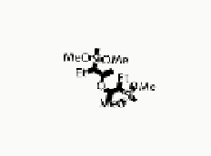 C=C(OC(=C)C(CC)[Si](C)(OC)OC)C(CC)[Si](C)(OC)OC